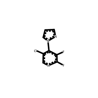 Fc1ncc(Cl)c(-n2cccn2)c1F